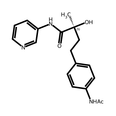 CC(=O)Nc1ccc(CC[C@](C)(O)C(=O)Nc2cccnc2)cc1